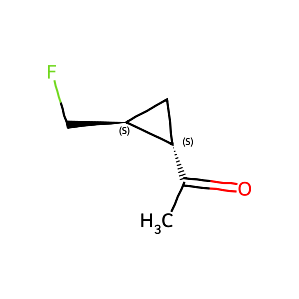 CC(=O)[C@H]1C[C@@H]1CF